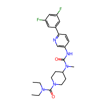 CCN(CC)C(=O)N1CCC(N(C)C(=O)Nc2ccc(-c3cc(F)cc(F)c3)nc2)CC1